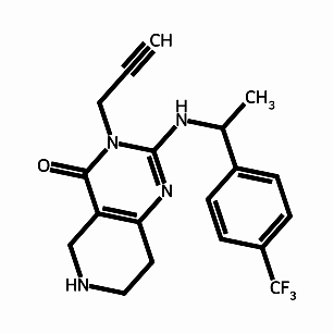 C#CCn1c(NC(C)c2ccc(C(F)(F)F)cc2)nc2c(c1=O)CNCC2